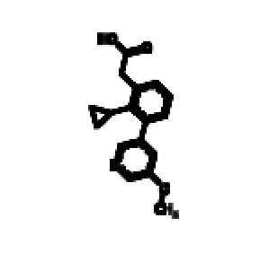 COc1cncc(-c2cccc(CC(=O)O)c2C2CC2)c1